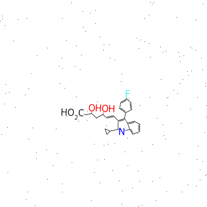 O=C(O)CC(O)CC(O)/C=C/c1c(C2CC2)nc2ccccc2c1-c1ccc(F)cc1